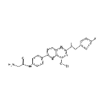 CCOc1nc(NCc2ccc(F)cc2)nc2ccc(-c3ccc(NC(=O)CN)cc3)nc12